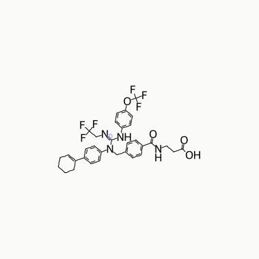 O=C(O)CCNC(=O)c1ccc(CN(/C(=N\CC(F)(F)F)Nc2ccc(OC(F)(F)F)cc2)c2ccc(C3=CCCCC3)cc2)cc1